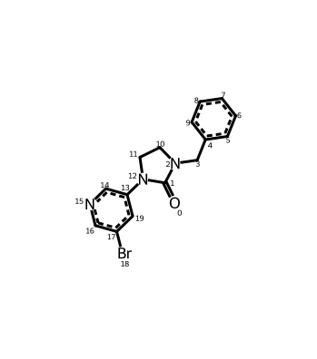 O=C1N(Cc2ccccc2)CCN1c1cncc(Br)c1